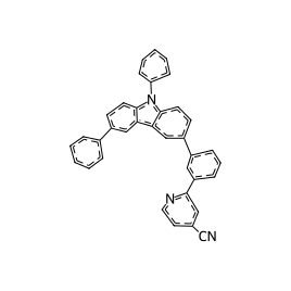 N#Cc1ccnc(-c2cccc(-c3ccc4c(c3)c3cc(-c5ccccc5)ccc3n4-c3ccccc3)c2)c1